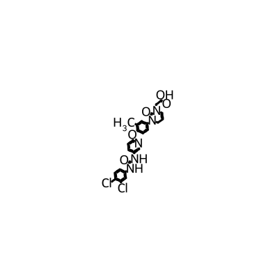 Cc1cc(N2CC=CN(CC(=O)O)C2=O)ccc1Oc1ccc(NC(=O)Nc2ccc(Cl)c(Cl)c2)cn1